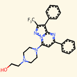 OCCN1CCN(c2cc(-c3ccccc3)nc3c(-c4ccccc4)c(C(F)(F)F)nn23)CC1